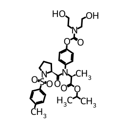 Cc1ccc(S(=O)(=O)N2CCC[C@H]2C(=O)N(c2ccc(OC(=O)N(CCO)CCO)cc2)[C@@H](C)C(=O)OC(C)C)cc1